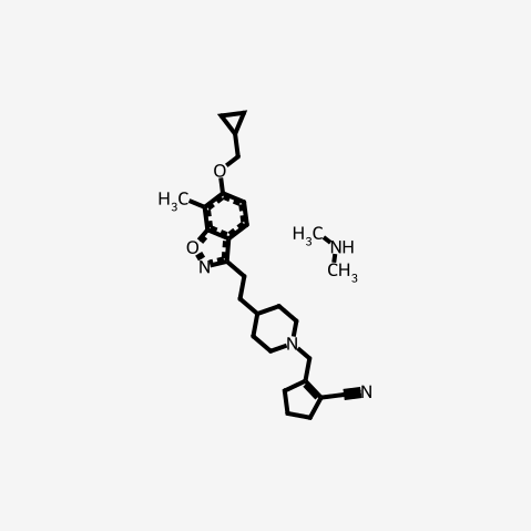 CNC.Cc1c(OCC2CC2)ccc2c(CCC3CCN(CC4=C(C#N)CCC4)CC3)noc12